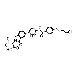 CCCCCc1ccc(C(=O)Nc2ccc(-c3ccc4c(c3)C(=O)N([C@H](C(=O)O)C(C)C)C4)nn2)cc1